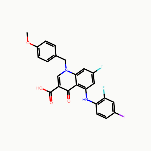 COc1ccc(Cn2cc(C(=O)O)c(=O)c3c(Nc4ccc(I)cc4F)cc(F)cc32)cc1